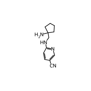 N#Cc1ccc(NCC2(N)CCCC2)nc1